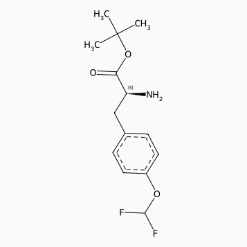 CC(C)(C)OC(=O)[C@@H](N)Cc1ccc(OC(F)F)cc1